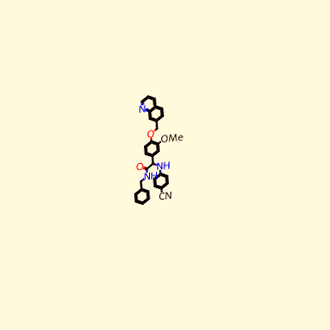 COc1cc(C(Nc2ccc(C#N)cc2)C(=O)NCc2ccccc2)ccc1OCc1ccc2cccnc2c1